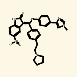 Cn1cnc(-c2ccc(N/C(=C3\C(=O)Nc4ccc([N+](=O)[O-])cc43)c3ccc(CCN4CCCC4)cc3)cc2)c1